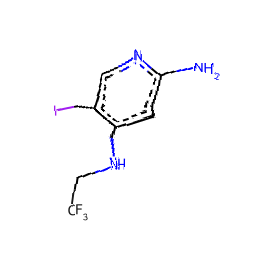 Nc1cc(NCC(F)(F)F)c(I)cn1